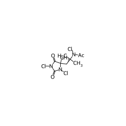 CC(=O)N(Cl)C(C)(C)CC1(C)C(=O)N(Cl)C(=O)N1Cl